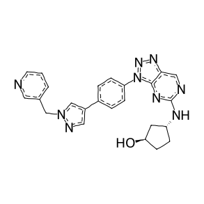 O[C@@H]1CC[C@@H](Nc2ncc3nnn(-c4ccc(-c5cnn(Cc6cccnc6)c5)cc4)c3n2)C1